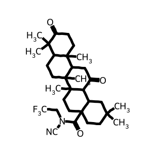 CC1(C)CCC2(C(=O)N(C#N)CC(F)(F)F)CCC3(C)C(C(=O)CC4C5(C)CCC(=O)C(C)(C)C5CCC43C)C2C1